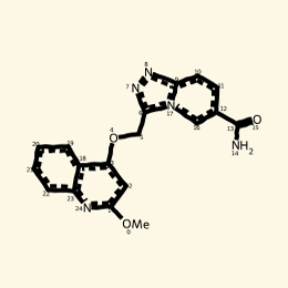 COc1cc(OCc2nnc3ccc(C(N)=O)cn23)c2ccccc2n1